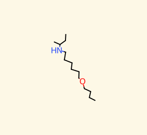 CCCCOCCCCCCNC(C)CC